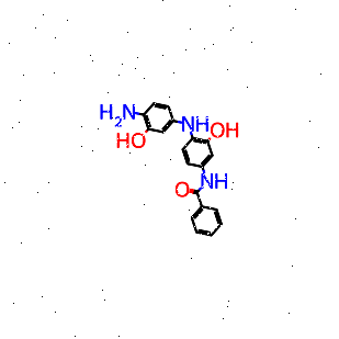 Nc1ccc(Nc2ccc(NC(=O)c3ccccc3)cc2O)cc1O